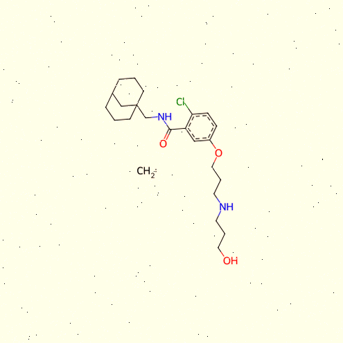 O=C(NCC12CCCC(CCC1)C2)c1cc(OCCCNCCCO)ccc1Cl.[CH2]